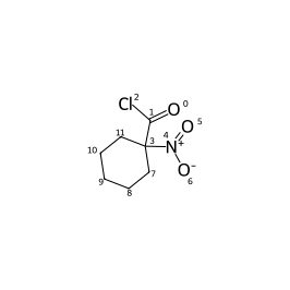 O=C(Cl)C1([N+](=O)[O-])CCCCC1